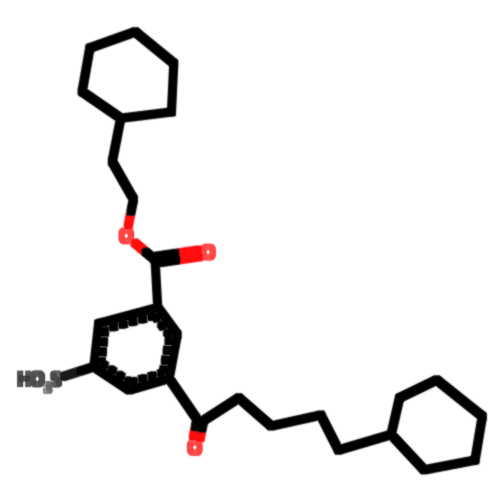 O=C(CCCCC1CCCCC1)c1cc(C(=O)OCCC2CCCCC2)cc(S(=O)(=O)O)c1